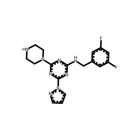 Fc1cc(F)cc(CNc2nc(N3CCNCC3)nc(-n3cccn3)n2)c1